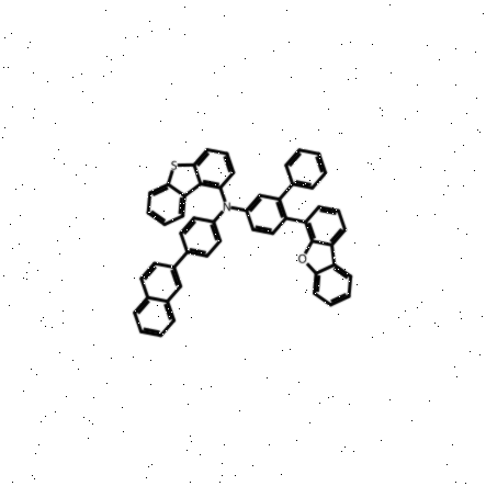 c1ccc(-c2cc(N(c3ccc(-c4ccc5ccccc5c4)cc3)c3cccc4sc5ccccc5c34)ccc2-c2cccc3c2oc2ccccc23)cc1